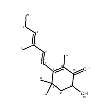 CC/C=C(C)/C=C/C1=C(C)C(=O)C(O)CC1(C)C